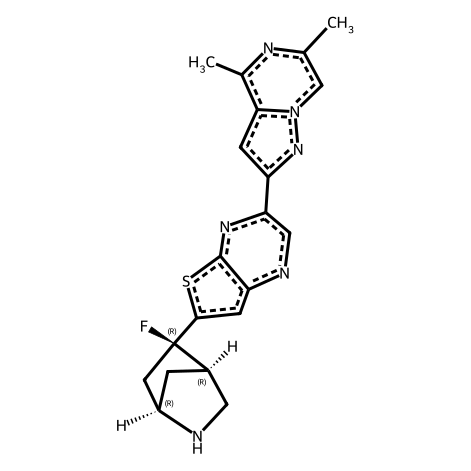 Cc1cn2nc(-c3cnc4cc([C@@]5(F)C[C@H]6C[C@@H]5CN6)sc4n3)cc2c(C)n1